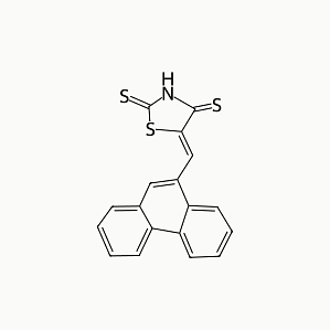 S=C1NC(=S)/C(=C/c2cc3ccccc3c3ccccc23)S1